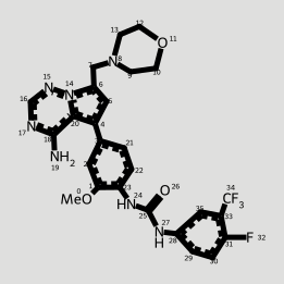 COc1cc(-c2cc(CN3CCOCC3)n3ncnc(N)c23)ccc1NC(=O)Nc1ccc(F)c(C(F)(F)F)c1